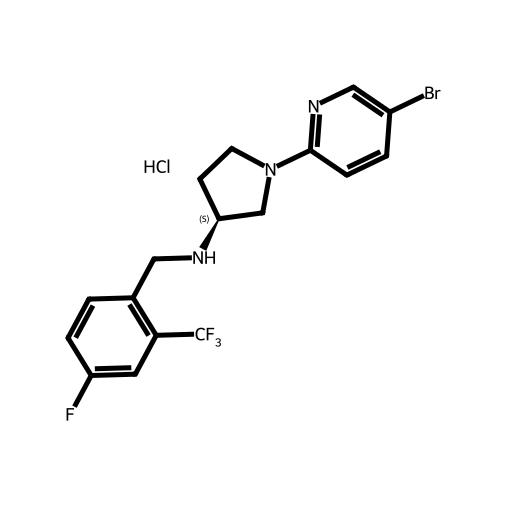 Cl.Fc1ccc(CN[C@H]2CCN(c3ccc(Br)cn3)C2)c(C(F)(F)F)c1